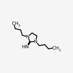 CCCCN1CCN(CCCC)C1=N